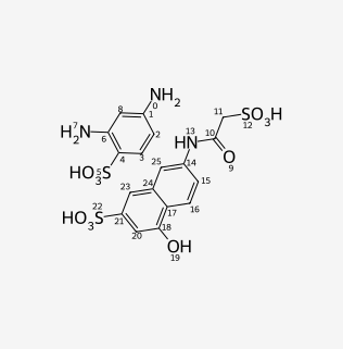 Nc1ccc(S(=O)(=O)O)c(N)c1.O=C(CS(=O)(=O)O)Nc1ccc2c(O)cc(S(=O)(=O)O)cc2c1